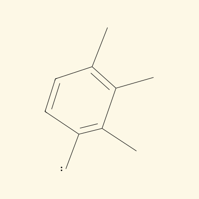 [CH]c1ccc(C)c(C)c1C